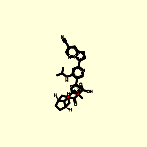 CC(C)Nc1cc(-c2ccc3cc(C#N)cnn23)ncc1-c1nnc(N2C[C@H]3CC[C@@H](C2)C3NC(=O)C(C)(C)C(=O)O)s1